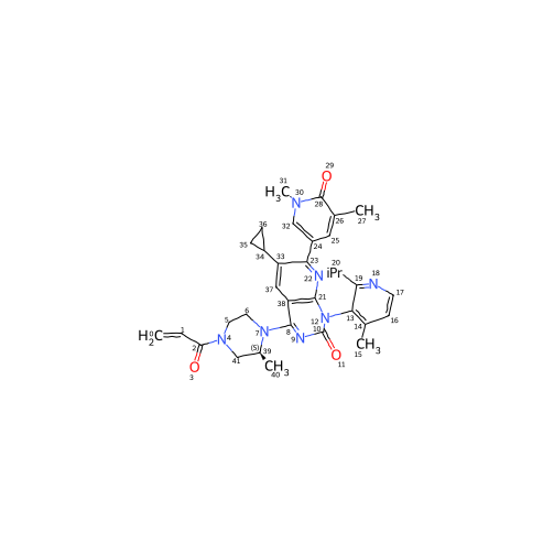 C=CC(=O)N1CCN(c2nc(=O)n(-c3c(C)ccnc3C(C)C)c3nc(-c4cc(C)c(=O)n(C)c4)c(C4CC4)cc23)[C@@H](C)C1